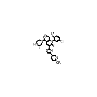 CCOc1ccc(Cl)cc1-n1c(CC(C)C)c(C(=O)N2CCN[C@@H](C)C2)cc(-c2nc(-c3ccc(C(F)(F)F)nc3)cs2)c1=O